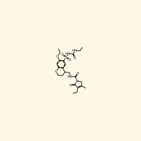 CCNC(=O)NS(=O)(=O)c1cc2c(cc1OCC)OCCC2CNC(=O)N1CC(C)=C(CC)C1=O